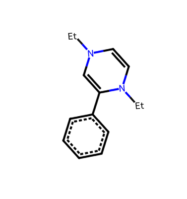 CCN1C=CN(CC)C(c2ccccc2)=C1